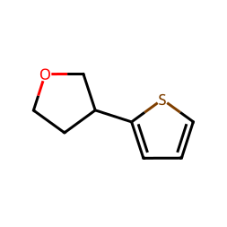 c1csc(C2CCOC2)c1